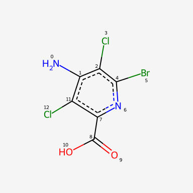 Nc1c(Cl)c(Br)nc(C(=O)O)c1Cl